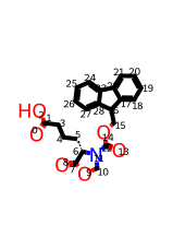 O=C(O)CCC[C@H]1C(=O)OCN1C(=O)OCC1c2ccccc2-c2ccccc21